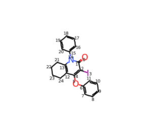 O=c1c(I)c(Oc2ccccc2)c2c(n1-c1ccccc1)CCCC2